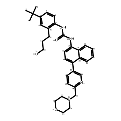 CC(C)(C)c1ccc(NC(=O)Nc2ccc(-c3ccc(CN4CCOCC4)nc3)c3ccccc23)c(CCCO)c1